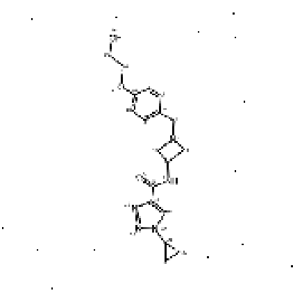 O=C(NC1CN(Cc2ccc(OCCO)cc2)C1)c1cn(C2CC2)nn1